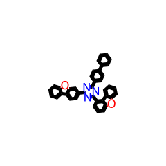 c1ccc(-c2ccc(-c3nc(-c4ccc5c(c4)oc4ccccc45)nc(-c4cccc5oc6ccccc6c45)n3)cc2)cc1